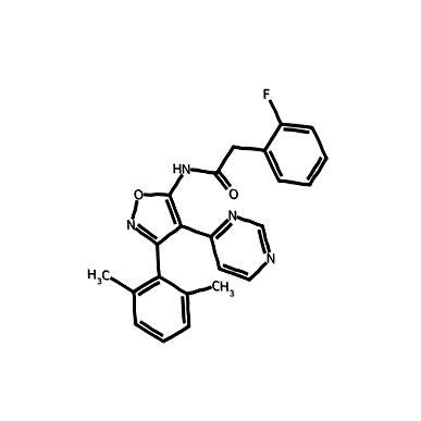 Cc1cccc(C)c1-c1noc(NC(=O)Cc2ccccc2F)c1-c1ccncn1